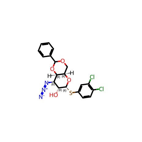 [N-]=[N+]=N[C@@H]1[C@@H](O)[C@@H](Sc2ccc(Cl)c(Cl)c2)O[C@@H]2COC(c3ccccc3)O[C@H]12